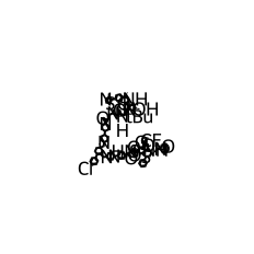 Cc1ncsc1-c1ccc([C@H](C)NC(=O)[C@@H]2C[C@@H](O)CN2C(=O)[C@@H](NC(=O)CN(C)CCC(=O)N2CCC(C3CCN(C[C@]4(C)CCC(c5ccc(Cl)cc5)=C(CN5CCN(c6ccc(C(=O)NS(=O)(=O)c7ccc(N[C@H](CCN8CCCOCC8)CSc8ccccc8)c(S(=O)(=O)C(F)(F)F)c7)cc6)CC5)C4)CC3)CC2)C(C)(C)C)cc1